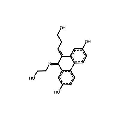 OCC/N=C1/C(=N/CCO)c2cc(O)ccc2-c2ccc(O)cc21